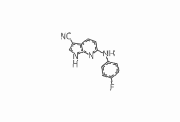 N#Cc1c[nH]c2nc(Nc3ccc(F)cc3)ccc12